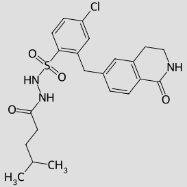 CC(C)CCC(=O)NNS(=O)(=O)c1ccc(Cl)cc1Cc1ccc2c(c1)CCNC2=O